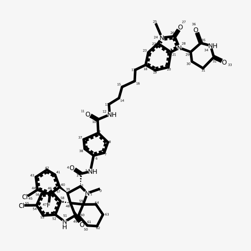 CN1[C@@H](C(=O)Nc2ccc(C(=O)NCCCCCc3ccc4c(c3)n(C)c(=O)n4C3CCC(=O)NC3=O)cc2)[C@H](c2cccc(Cl)c2F)[C@]2(C(=O)Nc3cc(Cl)ccc32)C12CCCCC2